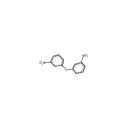 O=[N+]([O-])c1cccc(Oc2cccc([N+](=O)[O-])c2)c1